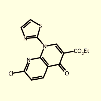 CCOC(=O)c1cn(-c2nccs2)c2nc(Cl)ccc2c1=O